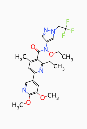 CCON(C(=O)c1c(C)cc(-c2cnc(OC)c(OC)c2)nc1CC)c1cnn(CC(F)(F)F)c1